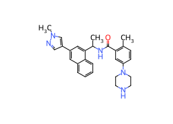 Cc1ccc(N2CCNCC2)cc1C(=O)NC(C)c1cc(-c2cnn(C)c2)cc2ccccc12